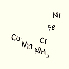 [AlH3].[Co].[Cr].[Fe].[Mn].[Ni]